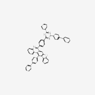 c1ccc(-c2ccc(-c3nc(-c4ccccc4)nc(-c4ccc(-c5nc6ccccc6c6c(-c7ccc(-c8ccccc8)cc7)c7c(cc56)oc5ccccc57)cc4)n3)cc2)cc1